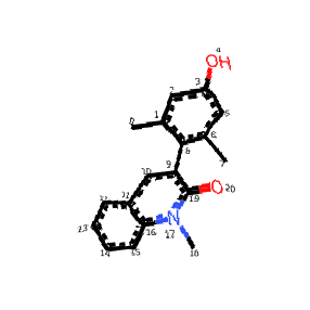 Cc1cc(O)cc(C)c1-c1cc2ccccc2n(C)c1=O